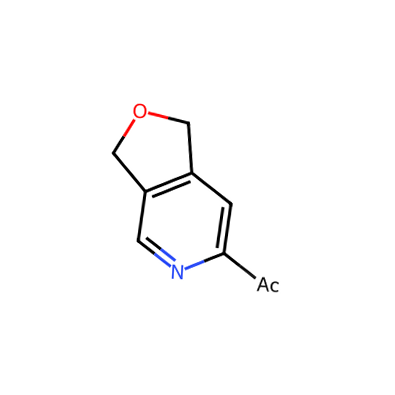 CC(=O)c1cc2c(cn1)COC2